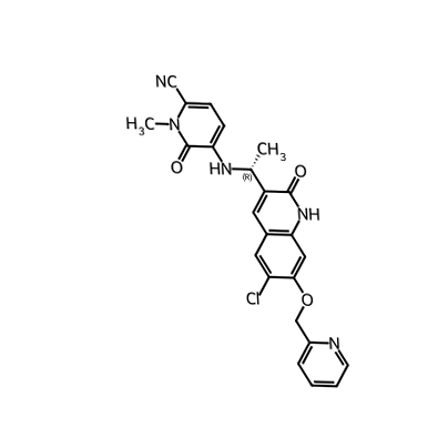 C[C@@H](Nc1ccc(C#N)n(C)c1=O)c1cc2cc(Cl)c(OCc3ccccn3)cc2[nH]c1=O